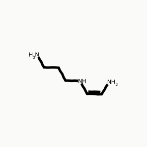 N/C=C\NCCCN